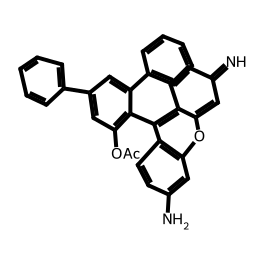 CC(=O)Oc1cc(-c2ccccc2)cc(-c2ccccc2)c1-c1c2ccc(=N)cc-2oc2cc(N)ccc12